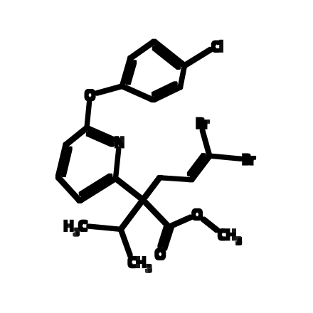 COC(=O)C(CC=C(Br)Br)(c1cccc(Oc2ccc(Cl)cc2)n1)C(C)C